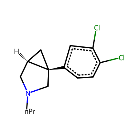 CCCN1C[C@H]2C[C@]2(c2ccc(Cl)c(Cl)c2)C1